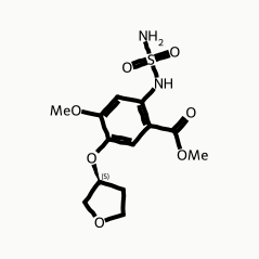 COC(=O)c1cc(O[C@H]2CCOC2)c(OC)cc1NS(N)(=O)=O